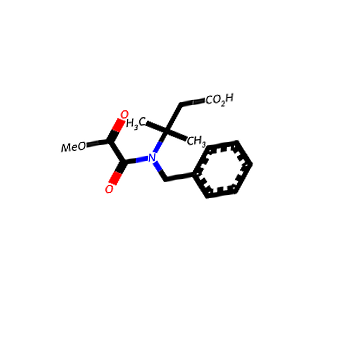 COC(=O)C(=O)N(Cc1ccccc1)C(C)(C)CC(=O)O